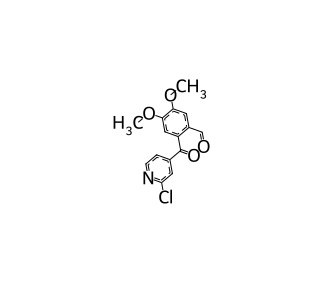 COc1cc(C=O)c(C(=O)c2ccnc(Cl)c2)cc1OC